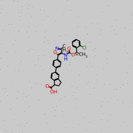 Cc1noc(-c2ccc(-c3ccc4c(c3)CCC4C(=O)O)cc2)c1NC(=O)O[C@H](C)c1ccccc1Cl